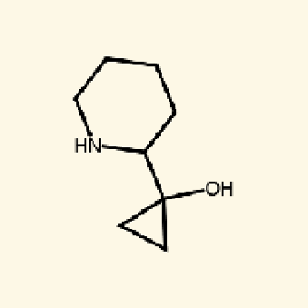 OC1(C2CCCCN2)CC1